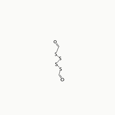 O=CSSSSC=O